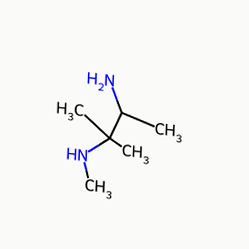 CNC(C)(C)C(C)N